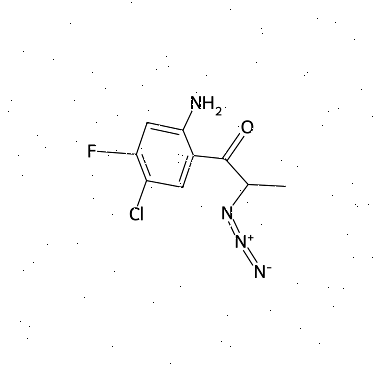 CC(N=[N+]=[N-])C(=O)c1cc(Cl)c(F)cc1N